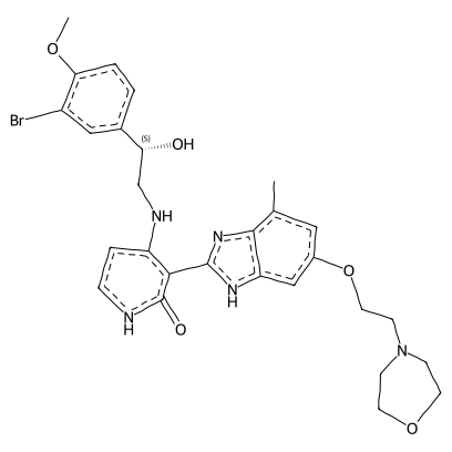 COc1ccc([C@H](O)CNc2cc[nH]c(=O)c2-c2nc3c(C)cc(OCCN4CCOCC4)cc3[nH]2)cc1Br